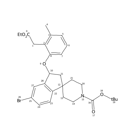 CCOC(=O)Cc1c(C)cccc1OC1CC2(CCN(C(=O)OC(C)(C)C)CC2)c2ccc(Br)cc21